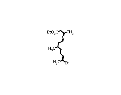 CCOC(=O)CC(C)=C=CCC(C)CCC=C(C)CC